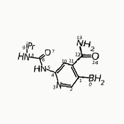 Bc1cnc(NC(=O)NC(C)C)cc1C(N)=O